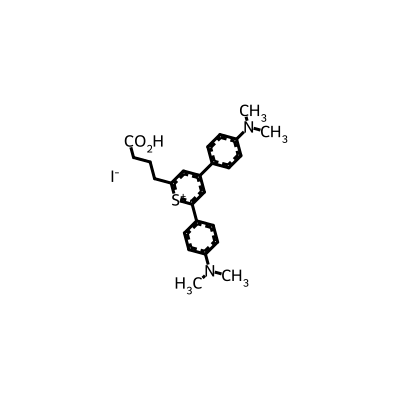 CN(C)c1ccc(-c2cc(CCCC(=O)O)[s+]c(-c3ccc(N(C)C)cc3)c2)cc1.[I-]